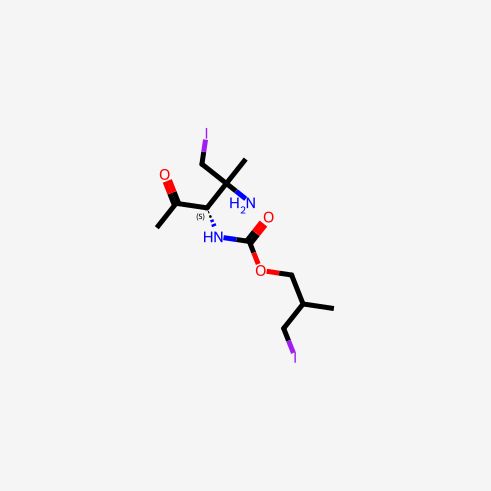 CC(=O)[C@@H](NC(=O)OCC(C)CI)C(C)(N)CI